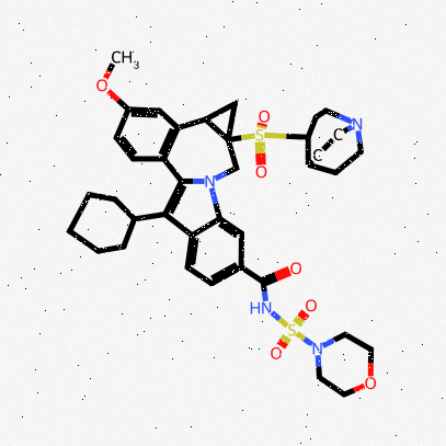 COc1ccc2c(c1)C1CC1(S(=O)(=O)C1CCN3CCC1CC3)Cn1c-2c(C2CCCCC2)c2ccc(C(=O)NS(=O)(=O)N3CCOCC3)cc21